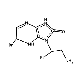 CCC(CN)n1c2c([nH]c1=O)N=CC(Br)N2